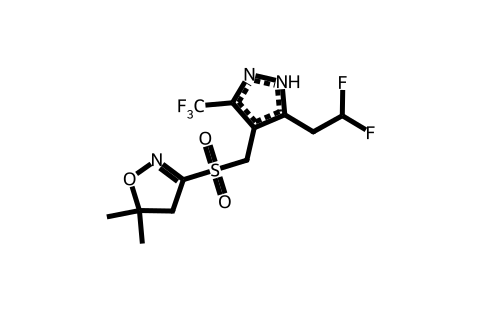 CC1(C)CC(S(=O)(=O)Cc2c(C(F)(F)F)n[nH]c2CC(F)F)=NO1